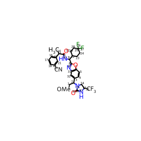 COCC(c1ccc2oc(C(NC(=O)C(C)c3cccc(C#N)c3)C3CCC(F)(F)CC3)nc2c1)N1CC(C(F)(F)F)NC1=O